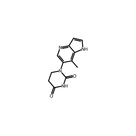 Cc1c(N2CCC(=O)NC2=O)cnc2cc[nH]c12